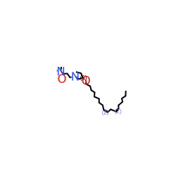 CCCCC/C=C\C/C=C\CCCCCCCCO[C@H]1CCN(CCC(=O)N(C)C)C1